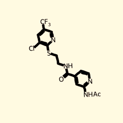 CC(=O)Nc1cc(C(=O)NCCSc2ncc(C(F)(F)F)cc2Cl)ccn1